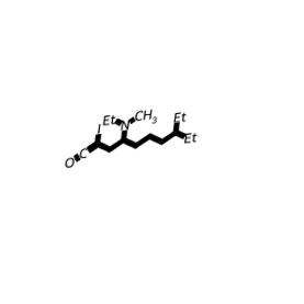 CCC(CC)CCCC(CC(I)=C=O)N(C)CC